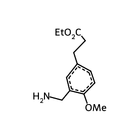 CCOC(=O)CCc1ccc(OC)c(CN)c1